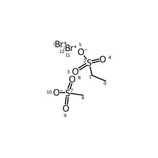 CCS(=O)(=O)[O-].CS(=O)(=O)[O-].[Br+].[Br+]